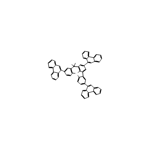 CC1(C)c2cc(-c3cc4ccccc4c4ccccc34)ccc2-n2c3ccc(-c4cc5ccccc5c5ccccc45)cc3c3cc(-c4cc5ccccc5c5ccccc45)cc1c32